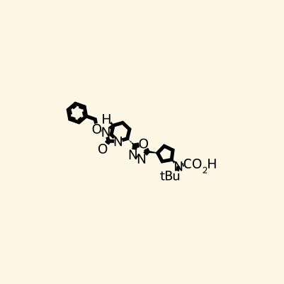 CC(C)(C)N(C(=O)O)[C@@H]1CC[C@H](c2nnc([C@H]3CC[C@@H]4CN3C(=O)N4OCc3ccccc3)o2)C1